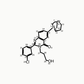 O=c1c2cc(N3CCN4CCC3CC4)ccc2nc(-c2cccc(Cl)c2)n1CCCO